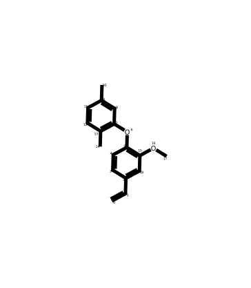 C=Cc1ccc(Oc2cc(C)ccc2C)c(OC)c1